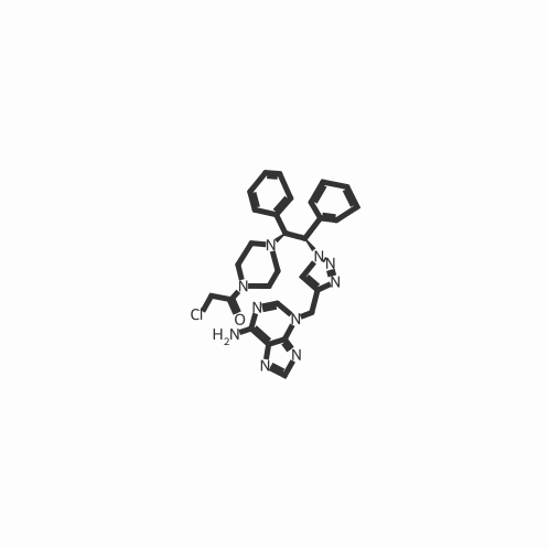 Nc1ncn(Cc2cn([C@H](c3ccccc3)[C@H](c3ccccc3)N3CCN(C(=O)CCl)CC3)nn2)c2ncnc1-2